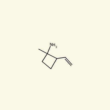 C=CC1CCC1(C)N